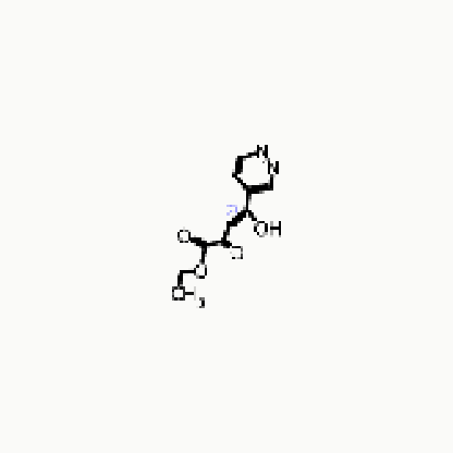 CCOC(=O)C(=O)/C=C(\O)c1ccnnc1